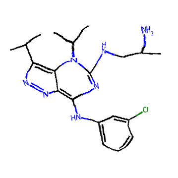 CC(N)CNc1nc(Nc2cccc(Cl)c2)c2nnc(C(C)C)c-2n1C(C)C